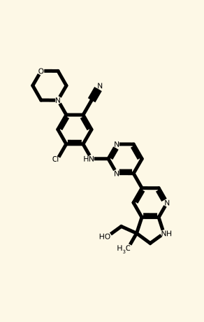 CC1(CO)CNc2ncc(-c3ccnc(Nc4cc(C#N)c(N5CCOCC5)cc4Cl)n3)cc21